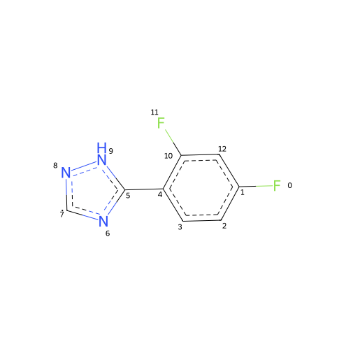 Fc1ccc(-c2n[c]n[nH]2)c(F)c1